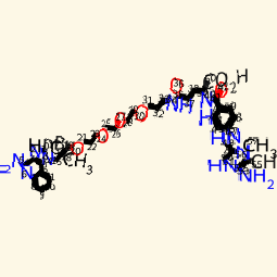 CCCCc1nc2c(N)nc3ccccc3c2n1CC(C)(C)COCCCOCCOCCOCCCNC(=O)CCC(NC(=O)c1ccc(NCC2CNC(N)=C(C=O)N2C)cc1)C(=O)O